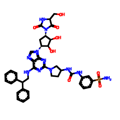 NS(=O)(=O)c1cccc(NC(=O)NC2CCN(c3nc(NCC(c4ccccc4)c4ccccc4)c4ncn([C@@H]5C[C@H](N6C(=O)NC(CO)C6=O)[C@@H](O)[C@H]5O)c4n3)C2)c1